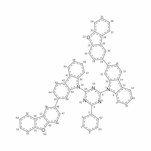 c1ccc(-c2nc(-n3c4ccccc4c4ccc(-c5ccc6oc7ccccc7c6c5)cc43)nc(-n3c4ccccc4c4ccc(-c5ccc6oc7ccccc7c6c5)cc43)n2)cc1